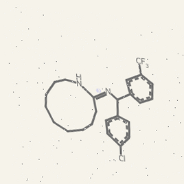 FC(F)(F)c1cccc(C(/N=C2\CCCCCCCCCN2)c2ccc(Cl)cc2)c1